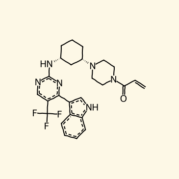 C=CC(=O)N1CCN([C@H]2CCC[C@@H](Nc3ncc(C(F)(F)F)c(-c4c[nH]c5ccccc45)n3)C2)CC1